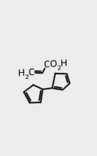 C1=CCC(C2=CC=CC2)=C1.C=CC(=O)O